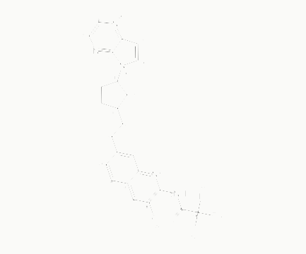 O=C(Nc1nc2cc(CCC3CCC(n4ccc5nccnc54)C3)ccc2cc1Cl)C(F)(F)F